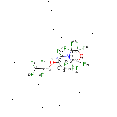 F/C(=C(\OCC(F)(F)C(F)F)C(F)(F)F)N1C(F)(F)C(F)(F)OC(F)(F)C1(F)F